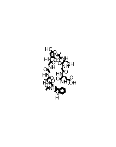 CC(=O)N[C@@H](Cc1c[nH]c2ccccc12)C(=O)N[C@@H](C)C(=O)NCC(=O)NCC(=O)N[C@@H](CC(=O)O)C(=O)N[C@@H](C)C(=O)N[C@@H](CO)C(=O)NCC(=O)N[C@@H](CCC(=O)O)C(N)=O